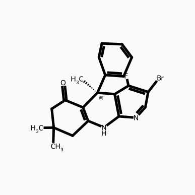 CC1(C)CC(=O)C2=C(C1)Nc1ncc(Br)c(F)c1[C@]2(C)c1ccccc1